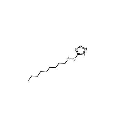 CCCCCCCCCSSc1nncs1